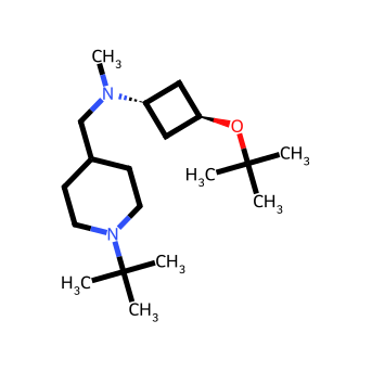 CN(CC1CCN(C(C)(C)C)CC1)[C@H]1C[C@H](OC(C)(C)C)C1